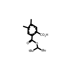 Cc1cc(C(=O)O)c(C(=O)OC(C(C)(C)C)C(C)(C)C)cc1C